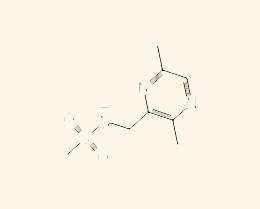 Cc1cnc(C)c(CNS(C)(=O)=O)n1